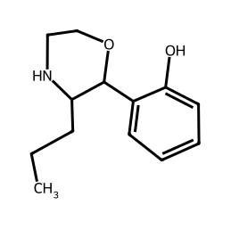 CCCC1NCCOC1c1ccccc1O